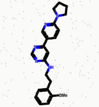 COc1ccccc1CCNc1cc(-c2ccc(N3CCCC3)nc2)ncn1